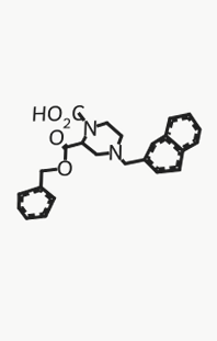 O=C(OCc1ccccc1)C1CN(Cc2ccc3ccccc3c2)CCN1C(=O)O